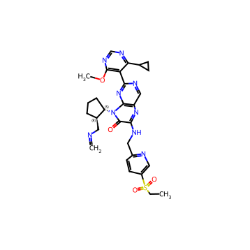 C=NC[C@H]1CCC[C@@H]1n1c(=O)c(NCc2ccc(S(=O)(=O)CC)cn2)nc2cnc(-c3c(OC)ncnc3C3CC3)nc21